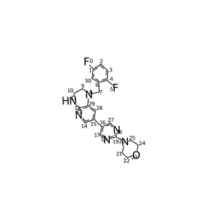 Fc1ccc(F)c(CN2CCNc3ncc(-c4cnc(N5CCOCC5)nc4)cc32)c1